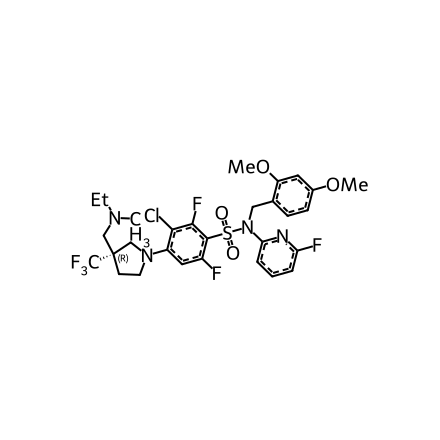 CCN(C)C[C@]1(C(F)(F)F)CCN(c2cc(F)c(S(=O)(=O)N(Cc3ccc(OC)cc3OC)c3cccc(F)n3)c(F)c2Cl)C1